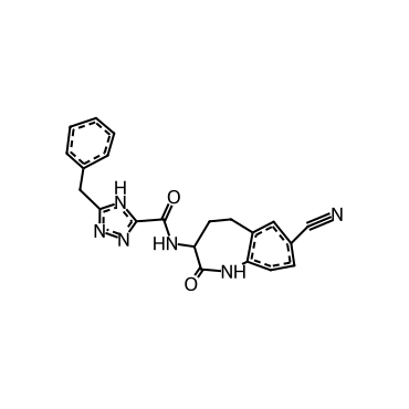 N#Cc1ccc2c(c1)CCC(NC(=O)c1nnc(Cc3ccccc3)[nH]1)C(=O)N2